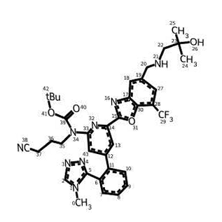 Cn1cnnc1-c1ccccc1-c1cc(-c2nc3cc(CNCC(C)(C)O)cc(C(F)(F)F)c3o2)nc(N(CCCC#N)C(=O)OC(C)(C)C)c1